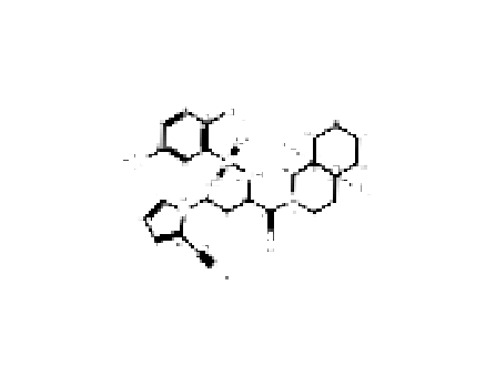 Cc1ccc(C)c(S(=O)(=O)NC(CCn2cccc2C#N)C(=O)N2CC[C@H]3CCCC[C@@H]3C2)c1